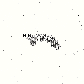 Nc1nc(N2CCN(C(=O)Nc3ccc4nc(CN5CCOCC5)[nH]c4c3)CC2)c2ncsc2n1